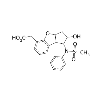 CS(=O)(=O)N(c1ccccc1)C1C(O)CC2Oc3c(CC(=O)O)cccc3C21